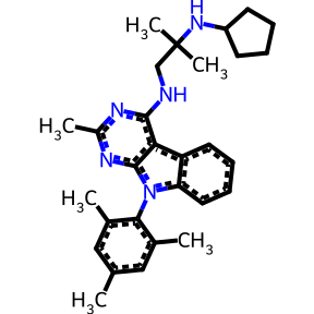 Cc1cc(C)c(-n2c3ccccc3c3c(NCC(C)(C)NC4CCCC4)nc(C)nc32)c(C)c1